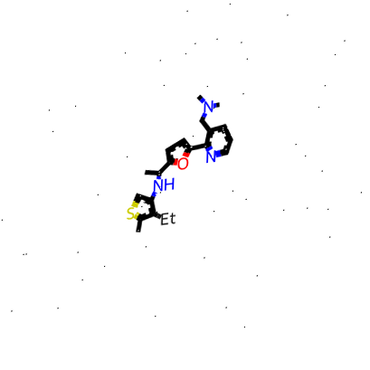 CCc1c(NC(C)c2ccc(-c3ncccc3CN(C)C)o2)csc1C